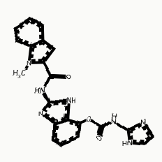 Cn1c(C(=O)Nc2nc3cccc(OC(=O)Nc4ncc[nH]4)c3[nH]2)cc2ccccc21